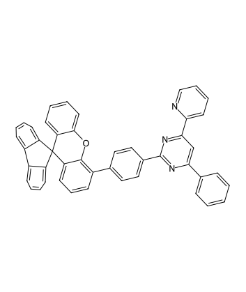 c1ccc(-c2cc(-c3ccccn3)nc(-c3ccc(-c4cccc5c4Oc4ccccc4C54c5ccccc5-c5ccccc54)cc3)n2)cc1